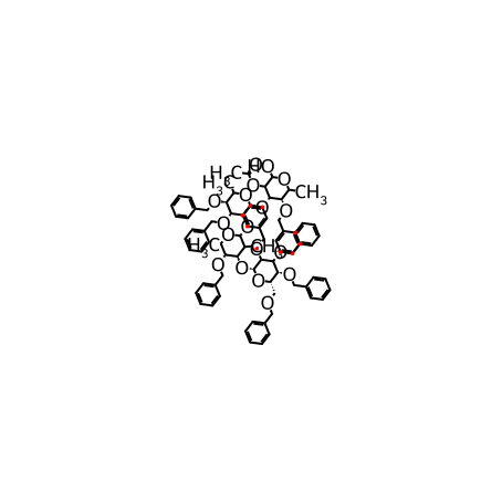 CC(=O)OC1C(O)OC(C)[C@H](OCc2ccccc2)[C@@H]1O[C@@H]1OC(C)[C@H](OCc2ccccc2)[C@H](OCc2ccccc2)C1O[C@@H]1OC(C)[C@H](OCc2ccccc2)[C@H](O[C@H]2O[C@@H](COCc3ccccc3)[C@@H](OCc3ccccc3)C(OCc3ccccc3)C2OCc2ccccc2)C1C